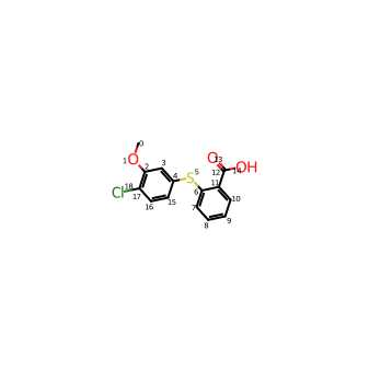 COc1cc(Sc2ccccc2C(=O)O)ccc1Cl